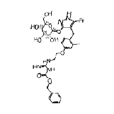 Cc1cc(OCCNC(=N)NC(=O)OCc2ccccc2)ccc1Cc1c(O[C@@H]2O[C@H](CO)[C@@H](O)[C@H](O)[C@H]2O)n[nH]c1C(C)C